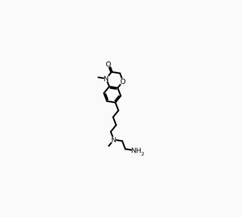 CN(CCN)CCCCc1ccc2c(c1)OCC(=O)N2C